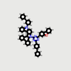 c1ccc(-c2ccc(-c3nc(-c4ccc5c(c4)oc4ccccc45)nc(-n4c5ccc6c(c7ccccc7n6-c6cccc(-c7ccccc7)c6)c5c5c6ccccc6c6ccccc6c54)n3)cc2)cc1